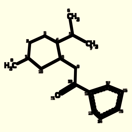 CC1CCC(C(C)C)C(CC(=O)c2ccccc2)C1